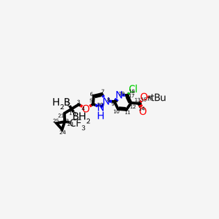 BC(B)(COC1C=CN(c2ccc(C(=O)OC(C)(C)C)c(Cl)n2)N1)CC1(C(F)(F)F)CC1